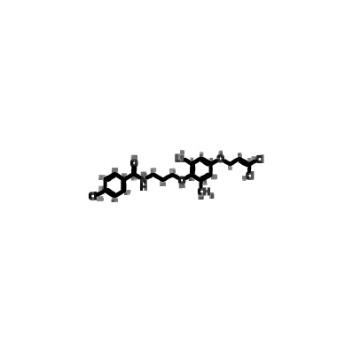 CCc1cc(OCC=C(Cl)Cl)cc(C)c1OCCCNC(=O)c1ccc(Cl)cc1